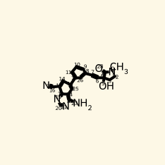 CN1CCC(O)(C#Cc2cccc(-c3cc(C#N)c4ncnc(N)c4c3)c2)C1=O